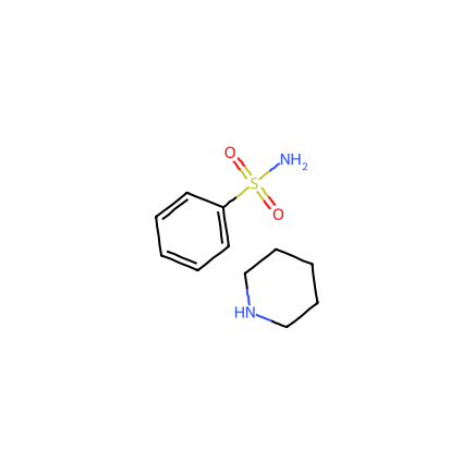 C1CCNCC1.NS(=O)(=O)c1ccccc1